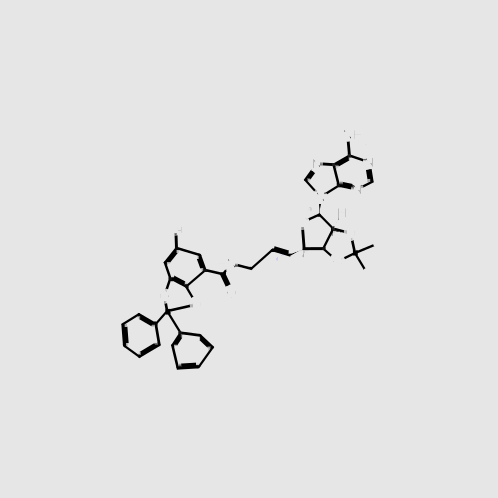 CC1(C)OC2[C@@H](/C=C/CNC(=O)c3cc(Br)cc4c3OC(c3ccccc3)(c3ccccc3)O4)O[C@@H](n3cnc4c(N)ncnc43)[C@H]2O1